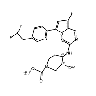 CC(C)(C)OC(=O)N1CC[C@@H](Nc2ncc3c(F)cc(-c4ccc(CC(F)F)cn4)n3n2)[C@H](O)C1